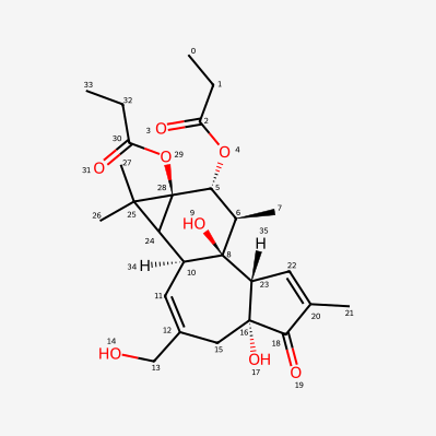 CCC(=O)O[C@@H]1[C@@H](C)[C@@]2(O)[C@@H](C=C(CO)C[C@]3(O)C(=O)C(C)=C[C@@H]23)C2C(C)(C)[C@@]21OC(=O)CC